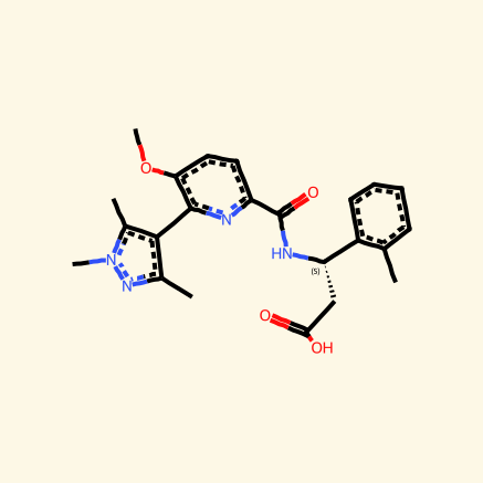 COc1ccc(C(=O)N[C@@H](CC(=O)O)c2ccccc2C)nc1-c1c(C)nn(C)c1C